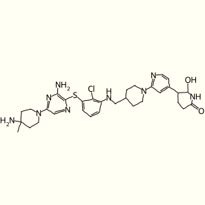 CC1(N)CCN(c2cnc(Sc3cccc(NCC4CCN(c5cc(C6CCC(=O)NC6O)ccn5)CC4)c3Cl)c(N)n2)CC1